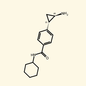 N[C@@H]1C[C@H]1c1ccc(C(=O)NC2CCCCC2)cc1